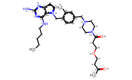 CCCCCNc1nc(N)nc2ccn(Cc3ccc(CN4CCN(C(=O)CCOCCC(C)=O)CC4)cc3C)c12